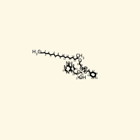 CCCCCCCCCCCCCCCCC(C)OCCO[P@](=O)(CO[C@H](CO)Cn1cnc2c(N)ncnc21)OCc1ccccc1